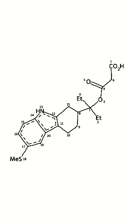 CCC(CC)(OC(=O)CC(=O)O)C1CCc2c([nH]c3ccc(SC)cc23)C1